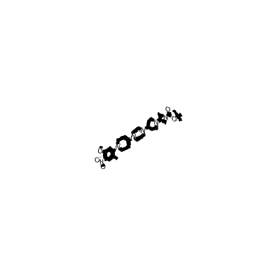 COc1cc(N2CCC(N3CCN(C4CCN(C5CN(C(=O)OC(C)(C)C)C5)CC4)CC3)CC2)c(C)cc1[N+](=O)[O-]